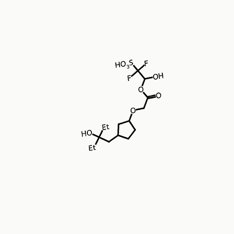 CCC(O)(CC)CC1CCC(OCC(=O)OC(O)C(F)(F)S(=O)(=O)O)C1